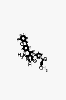 CC#CC(=O)N1CCC(n2cc(-c3ccc(Oc4c(F)cccc4F)cc3)c3c(N)n[nH]c(=O)c32)C1